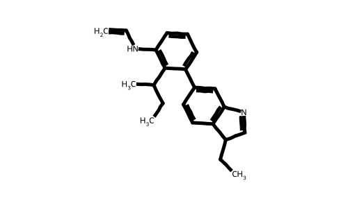 C=CNc1cccc(-c2ccc3c(c2)N=CC3CC)c1C(C)CC